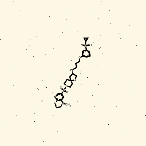 CN1CCOc2ncc(S(=O)(=O)N3CCC4(CC3)C[C@@H](NCCCOc3cccc(S(=O)(=O)C5CC5)c3)CO4)cc21